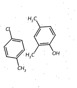 Cc1ccc(Cl)cc1.Cc1ccc(O)c(C)c1